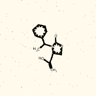 C=C(O)c1cnc(Cl)n1C(C)c1ccccc1